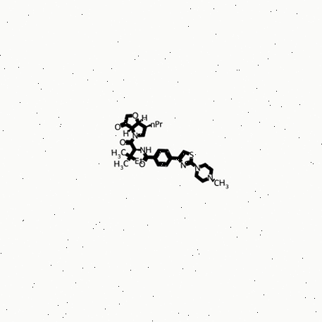 CCC[C@H]1CN(C(=O)[C@@H](NC(=O)c2ccc(-c3csc(N4CCN(C)CC4)n3)cc2)C(C)(C)CC)[C@@H]2C(=O)CO[C@H]12